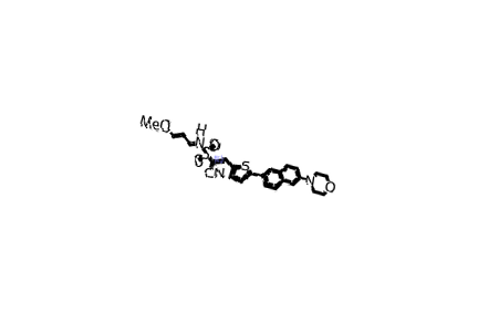 COCCCNS(=O)(=O)/C(C#N)=C/c1ccc(-c2ccc3cc(N4CCOCC4)ccc3c2)s1